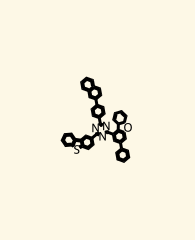 C1=CC2Oc3cc(-c4ccccc4)cc(-c4nc(-c5ccc(-c6ccc7ccccc7c6)cc5)nc(-c5ccc6sc7ccccc7c6c5)n4)c3C2C=C1